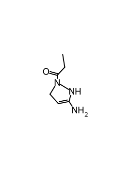 CCC(=O)N1CC=C(N)N1